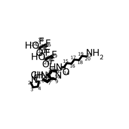 CN1CCC[C@H]1c1cc2cnc(NC(=O)CCCCCCN)cc2[nH]1.O=C(O)C(F)(F)F.O=C(O)C(F)(F)F